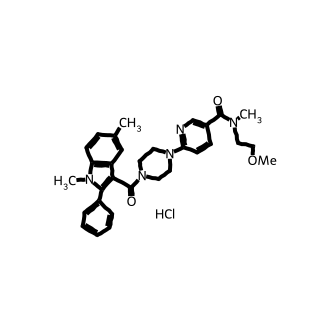 COCCN(C)C(=O)c1ccc(N2CCN(C(=O)c3c(-c4ccccc4)n(C)c4ccc(C)cc34)CC2)nc1.Cl